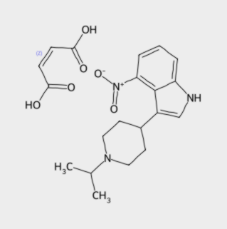 CC(C)N1CCC(c2c[nH]c3cccc([N+](=O)[O-])c23)CC1.O=C(O)/C=C\C(=O)O